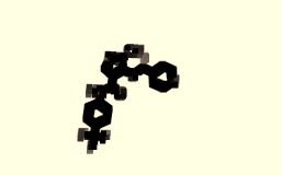 Cn1ncc(C(=O)Nc2ccc(C(F)(F)F)cc2)c1SCc1ccncc1